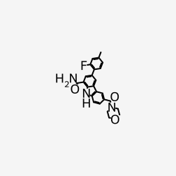 Cc1ccc(-c2cc(C(N)=O)c3[nH]c4ccc(C(=O)N5CCOCC5)cc4c3c2)c(F)c1